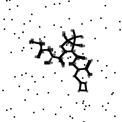 CC(=O)C(=O)C(CC1CCC1)NC(=O)[C@@H]1[C@@H]2[C@H](CN1C(=O)[C@@H](NC(=O)NC(C)C)C(C)(C)C)C2(C)C